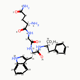 NC(=O)CC[C@H](N)C(=O)NCC(=O)N[C@@H](Cc1c[nH]c2ccccc12)C(=O)N[C@@H](Cc1ccccc1)C(=O)O